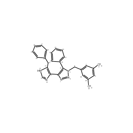 FC(F)(F)c1cc(Cn2nnc(-c3nc[nH]c3Cc3ccccc3)c2-c2ccccc2)cc(C(F)(F)F)c1